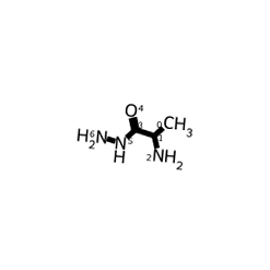 CC(N)C(=O)NN